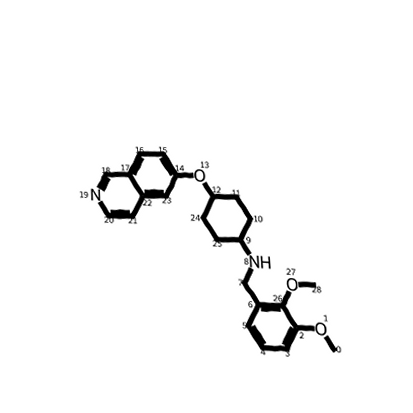 COc1cccc(CNC2CCC(Oc3ccc4cnccc4c3)CC2)c1OC